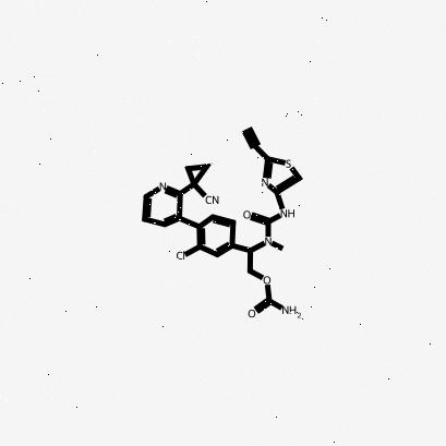 C#Cc1nc(NC(=O)N(C)C(COC(N)=O)c2ccc(-c3cccnc3C3(C#N)CC3)c(Cl)c2)cs1